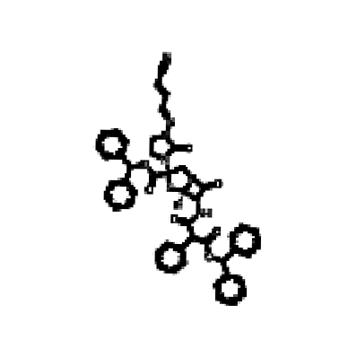 N#C/C=C/C=N/N1CCN([C@]2(C(=O)OC(c3ccccc3)c3ccccc3)CN3C(=O)[C@@H](NC(=O)C(C(=O)OC(c4ccccc4)c4ccccc4)c4ccccc4)[C@H]3S2)C1=O